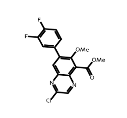 COC(=O)c1c(OC)c(-c2ccc(F)c(F)c2)cc2nc(Cl)cnc12